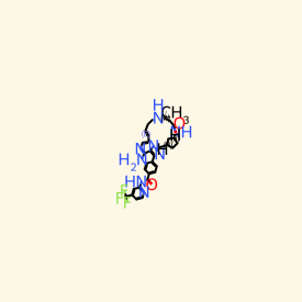 C[C@@H]1CC(=O)N[C@@H]2CC[C@H](C2)c2nc(-c3ccc(C(=O)Nc4cc(C(F)(F)F)ccn4)cc3)c3c(N)ncc(n23)/C=C/CCN1